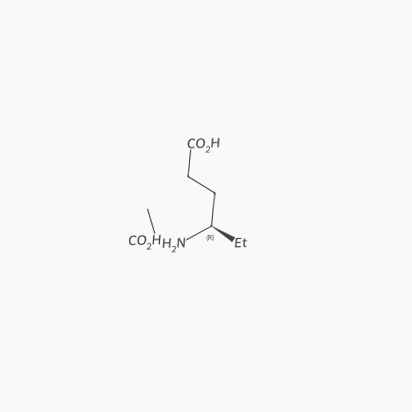 CC(=O)O.CC[C@@H](N)CCC(=O)O